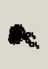 C=CCOCN1C[C@H](C)N(c2nc(=O)n(-c3c(C)ccnc3C(C)C)c3nc(-c4c(O)cccc4F)c(Cl)cc23)C[C@H]1C